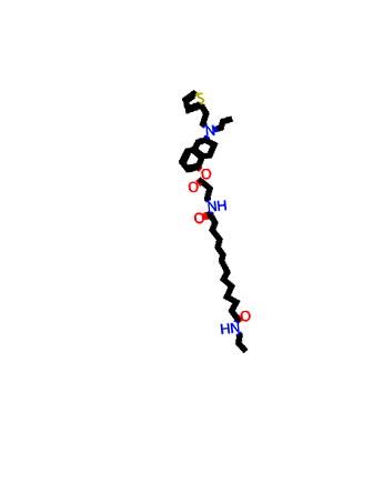 CCCNC(=O)CCCCCCCCCCCCC(=O)NCCC(=O)Oc1cccc2c1CCC(N(CCC)CCc1cccs1)C2